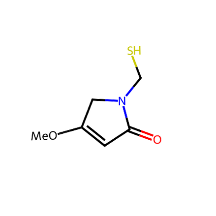 COC1=CC(=O)N(CS)C1